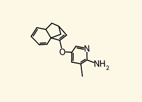 Cc1cc(OC2=CC3CC4C=CC=CC24C3)cnc1N